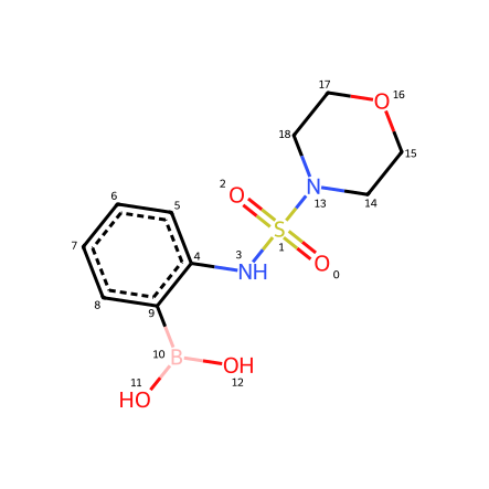 O=S(=O)(Nc1ccccc1B(O)O)N1CCOCC1